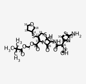 CC(C)(C)C(=O)OCOC(=O)C1=C(SC2CCOC2)CS[C@@H]2C(NC(=O)/C(=N\O)c3csc(N)n3)C(=O)N12